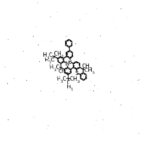 CC(C)(C)c1cc2c3c(c1)C(C)(C)c1cc(C(C)(C)C)cc4c1N3B(c1ccc(-c3ccccc3)cc1-2)c1ccc2c(c1-4)Sc1ccccc1C2(C)C